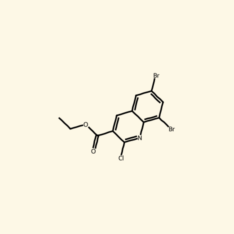 CCOC(=O)c1cc2cc(Br)cc(Br)c2nc1Cl